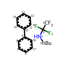 CCCCNC(F)(F)C(F)(F)F.c1ccc(-c2ccccc2)cc1